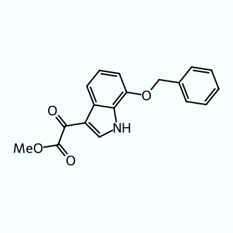 COC(=O)C(=O)c1c[nH]c2c(OCc3ccccc3)cccc12